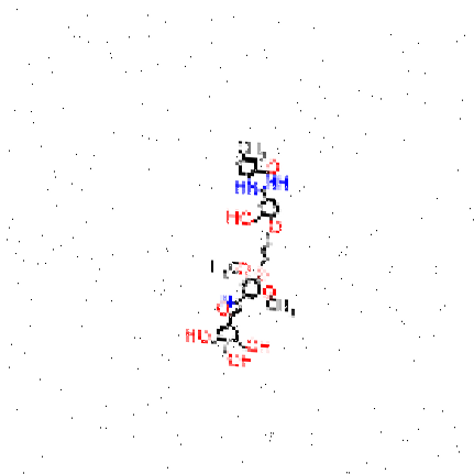 COc1cc(-c2cc(-c3cc(CO)c(CO)c(CO)c3)on2)cc(OC)c1OCCCCCOc1ccc(C2NC(=O)c3cc(C)ccc3N2)cc1CO